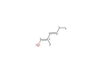 CC/C=C/C(C)=C/[O]